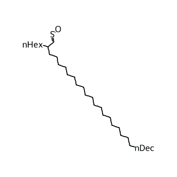 CCCCCCCCCCCCCCCCCCCCCCCCCCCCCC(C=S=O)CCCCCC